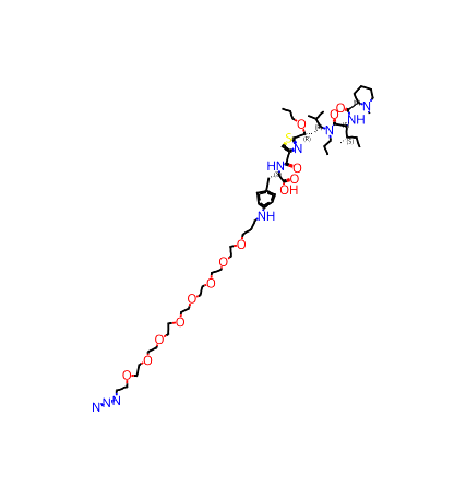 CCCO[C@H](C[C@H](C(C)C)N(CCC)C(=O)[C@@H](NC(=O)[C@H]1CCCCN1C)[C@@H](C)CC)c1nc(C(=O)N[C@@H](Cc2ccc(NCCCOCCOCCOCCOCCOCCOCCOCCOCCN=[N+]=[N-])cc2)C(=O)O)cs1